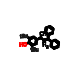 CC([SiH2]C(c1ccccc1)c1ccccc1)c1cc(C(C)(C)C)c(O)c(C(C)(C)C)c1